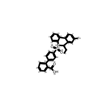 CCC1c2cc(F)ccc2-c2ccccc2N1S(=O)(=O)c1ccc(-c2ccccc2C(=O)O)cc1